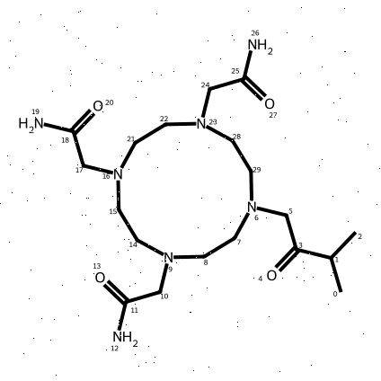 CC(C)C(=O)CN1CCN(CC(N)=O)CCN(CC(N)=O)CCN(CC(N)=O)CC1